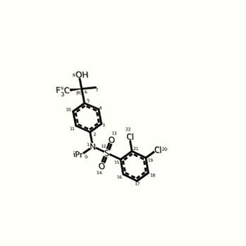 CC(C)N(c1ccc([C@@](C)(O)C(F)(F)F)cc1)S(=O)(=O)c1cccc(Cl)c1Cl